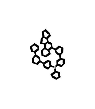 c1ccc(-c2cccc(-c3ccc(N(c4ccccc4)c4cccc(-c5cccc(-c6cc7c8ccccc8ccc7c7ccccc67)c5)c4)cc3)c2)cc1